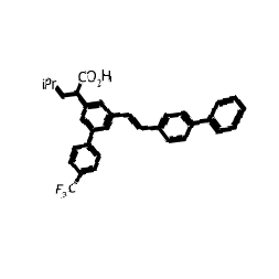 CC(C)CC(C(=O)O)c1cc(/C=C/c2ccc(-c3ccccc3)cc2)cc(-c2ccc(C(F)(F)F)cc2)c1